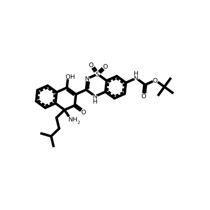 CC(C)CCC1(N)C(=O)C(C2=NS(=O)(=O)c3cc(NC(=O)OC(C)(C)C)ccc3N2)=C(O)c2ccccc21